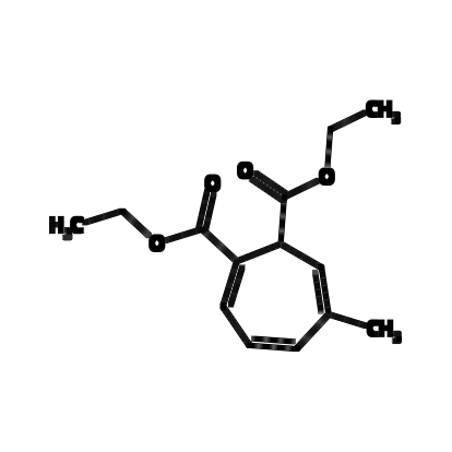 CCOC(=O)C1=CC=CC(C)=CC1C(=O)OCC